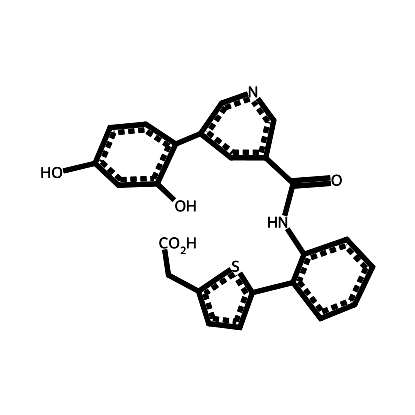 O=C(O)Cc1ccc(-c2ccccc2NC(=O)c2cncc(-c3ccc(O)cc3O)c2)s1